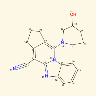 N#Cc1c2c(c(N3CCCC(O)C3)n3c1nc1ccccc13)CCC2